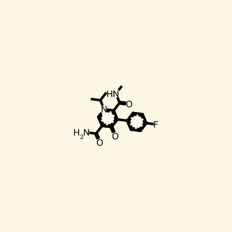 CNC(=O)c1c(-c2ccc(F)cc2)c(=O)c(C(N)=O)cn1C(C)C